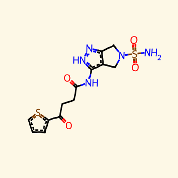 NS(=O)(=O)N1Cc2n[nH]c(NC(=O)CCC(=O)c3cccs3)c2C1